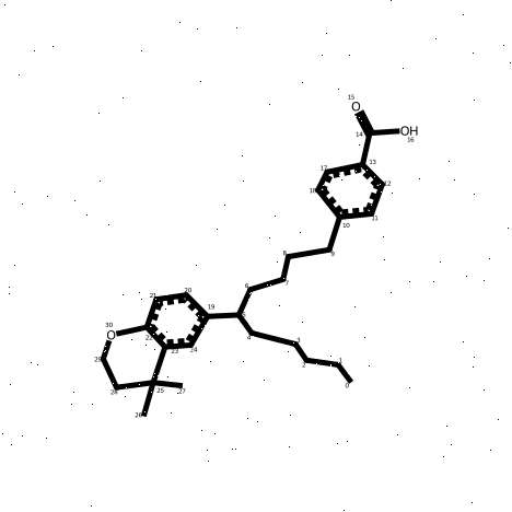 CCCCCC(CCCCc1ccc(C(=O)O)cc1)c1ccc2c(c1)C(C)(C)CCO2